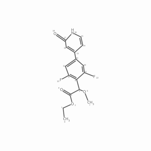 CCOC(=O)C(OC)c1c(F)cc(-c2cc[nH]c(=O)c2)cc1F